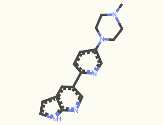 CN1CCN(c2ccc(-c3cnc4[nH]ccc4c3)nc2)CC1